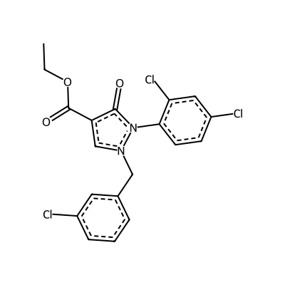 CCOC(=O)c1cn(Cc2cccc(Cl)c2)n(-c2ccc(Cl)cc2Cl)c1=O